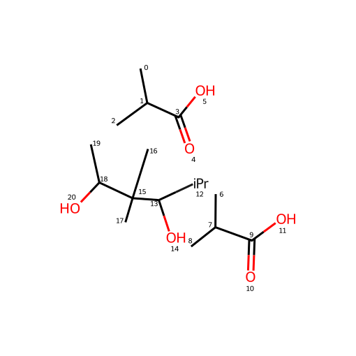 CC(C)C(=O)O.CC(C)C(=O)O.CC(C)C(O)C(C)(C)C(C)O